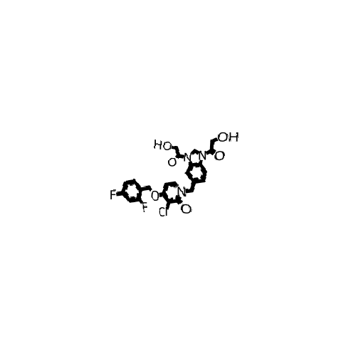 O=C(CO)N1CN(C(=O)CO)c2cc(Cn3ccc(OCc4ccc(F)cc4F)c(Cl)c3=O)ccc21